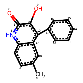 Cc1ccc2[nH]c(=O)c(O)c(-c3ccccc3)c2c1